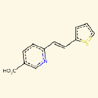 O=C(O)c1ccc(C=Cc2cccs2)nc1